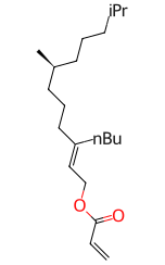 C=CC(=O)OC/C=C(\CCCC)CCC[C@@H](C)CCCC(C)C